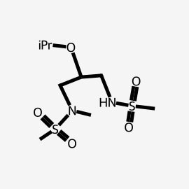 CC(C)OC(CNS(C)(=O)=O)CN(C)S(C)(=O)=O